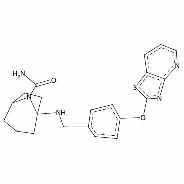 NC(=O)N1C2CCCC1(NCc1ccc(Oc3nc4ncccc4s3)cc1)CC2